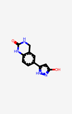 O=C1NCc2cc(-c3cc(O)n[nH]3)ccc2N1